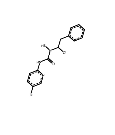 O=C(Nc1ccc(Br)cn1)N(S)C(Cl)Cc1ccccc1